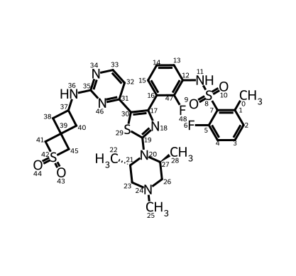 Cc1cccc(F)c1S(=O)(=O)Nc1cccc(-c2nc(N3[C@@H](C)CN(C)C[C@@H]3C)sc2-c2ccnc(NC3CC4(C3)CS(=O)(=O)C4)n2)c1F